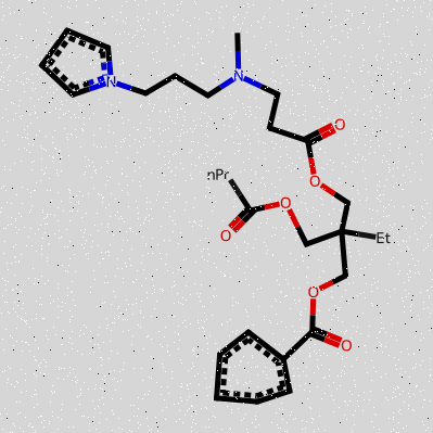 CCCC(=O)OCC(CC)(COC(=O)CCN(C)CCCn1cccc1)COC(=O)c1ccccc1